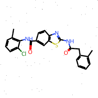 Cc1ccccc1CC(=O)Nc1nc2ccc(C(=O)Nc3c(C)cccc3Cl)cc2s1